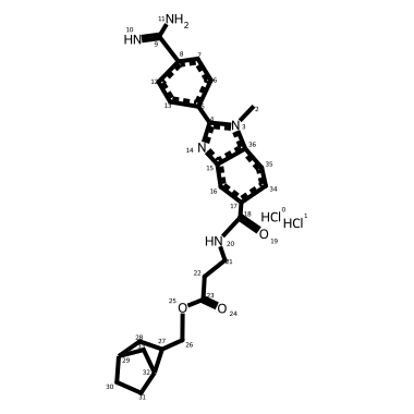 Cl.Cl.Cn1c(-c2ccc(C(=N)N)cc2)nc2cc(C(=O)NCCC(=O)OCC3CC4CCC3C4)ccc21